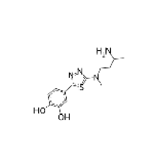 CC(N)CCN(C)c1nnc(-c2ccc(O)c(O)c2)s1